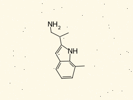 Cc1cccc2cc(C(C)CN)[nH]c12